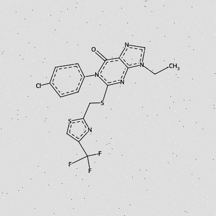 CCn1cnc2c(=O)n(-c3ccc(Cl)cc3)c(SCc3nc(C(F)(F)F)cs3)nc21